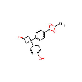 CC1OC(c2ccc(C3(c4ccc(O)cc4)CC(=O)C3)cc2)O1